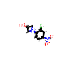 O=[N+]([O-])c1ccc(N2CC(O)C2)c(F)c1